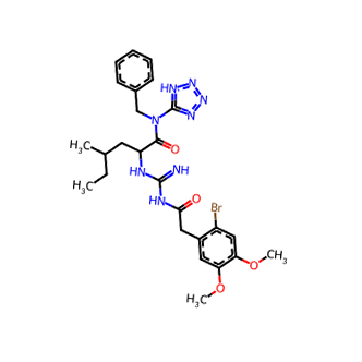 CCC(C)CC(NC(=N)NC(=O)Cc1cc(OC)c(OC)cc1Br)C(=O)N(Cc1ccccc1)c1nnn[nH]1